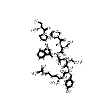 CC(C)C[C@H](N)C(=O)N1CCC[C@H]1C(=O)N[C@@H](CO)C(=O)N[C@@H](CO)C(=O)N[C@@H](Cc1c[nH]c2ccccc12)C(=O)N[C@@H](CC(=O)O)C(=O)N[C@@H](Cc1ccc(O)cc1)C(=O)N[C@@H](CCCNC(=N)N)C(=O)O